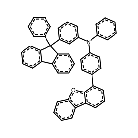 c1ccc(N(c2ccc(-c3cccc4c3oc3ccccc34)cc2)c2cccc(C3(c4ccccc4)c4ccccc4-c4ccccc43)c2)cc1